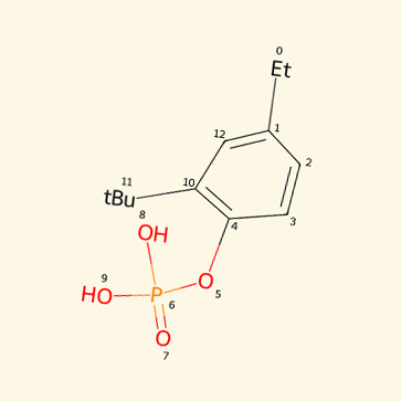 CCc1ccc(OP(=O)(O)O)c(C(C)(C)C)c1